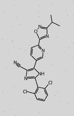 CC(C)c1noc(-c2ccc(-c3[nH]c(-c4c(Cl)cccc4Cl)nc3C#N)cn2)n1